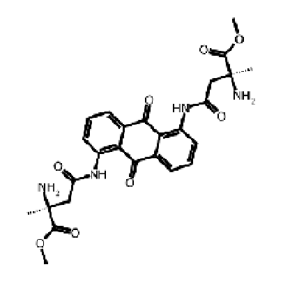 COC(=O)[C@@](C)(N)CC(=O)Nc1cccc2c1C(=O)c1cccc(NC(=O)C[C@](C)(N)C(=O)OC)c1C2=O